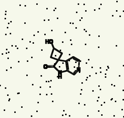 O=C1Nc2cnccc2C12CC(O)C2